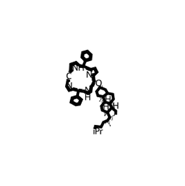 CC(C)CCC[C@@H](C)[C@H]1CC[C@H]2[C@@H]3CCC4C[C@@H](Oc5c6nc(c(-c7ccccc7)c7ccc(cc8nc(c(-c9ccccc9)c9ccc5[nH]9)C=C8)[nH]7)C=C6)CC[C@]4(C)[C@H]3CC[C@]12C